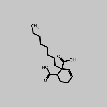 CCCCCCCCC1(C(=O)O)C=CCCC1C(=O)O